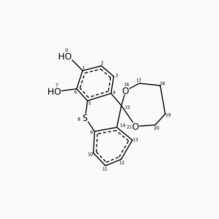 Oc1ccc2c(c1O)Sc1ccccc1C21OCCCCO1